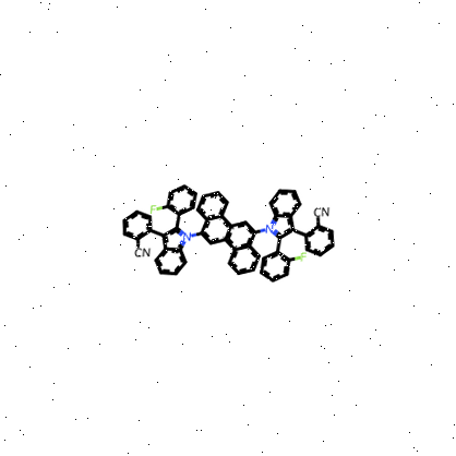 N#Cc1ccccc1-c1c(-c2ccccc2F)n(-c2cc3c4ccccc4c(-n4c(-c5ccccc5F)c(-c5ccccc5C#N)c5ccccc54)cc3c3ccccc23)c2ccccc12